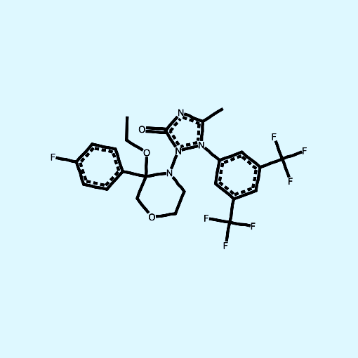 CCOC1(c2ccc(F)cc2)COCCN1n1c(=O)nc(C)n1-c1cc(C(F)(F)F)cc(C(F)(F)F)c1